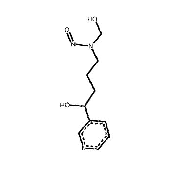 O=NN(CO)CCCC(O)c1cccnc1